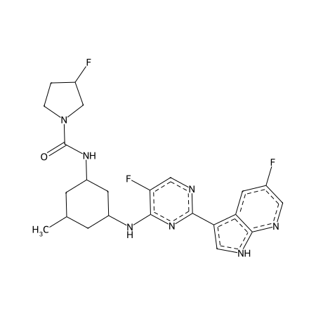 CC1CC(NC(=O)N2CCC(F)C2)CC(Nc2nc(-c3c[nH]c4ncc(F)cc34)ncc2F)C1